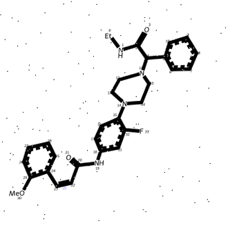 CCNC(=O)C(c1ccccc1)N1CCN(c2ccc(NC(=O)/C=C\c3ccccc3OC)cc2F)CC1